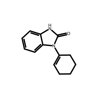 O=c1[nH]c2ccccc2n1C1=CCCCC1